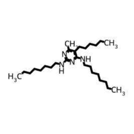 CCCCCCCCNc1nc(C)c(CCCCCC)c(NCCCCCCCC)n1